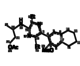 CCc1nc(-c2cc3c(cc2OC)CCCC3)c(CC)nc1NC(C)CCOC(C)=O